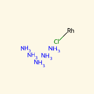 N.N.N.N.N.[Cl][Rh]